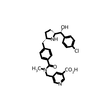 CN(Cc1cncc(C(=O)O)c1)C(=O)c1ccc(C[C@@H]2CC[C@H]([C@H](O)c3ccc(Cl)cc3)N2)cc1